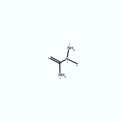 C=C(N)N(C)N